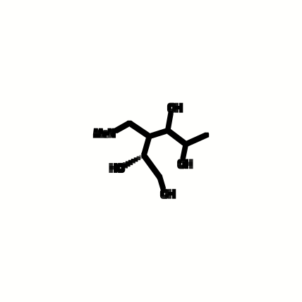 CNCC(C(O)C(C)O)[C@@H](O)CO